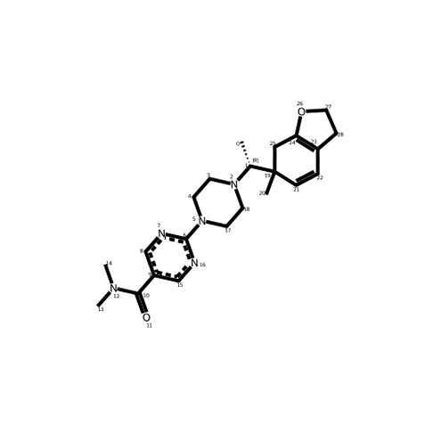 C[C@@H](N1CCN(c2ncc(C(=O)N(C)C)cn2)CC1)C1(C)C=CC2=C(C1)OCC2